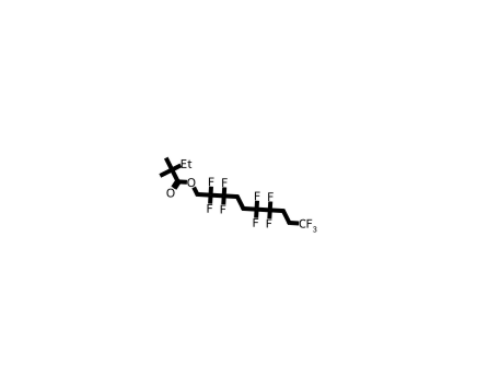 CCC(C)(C)C(=O)OCC(F)(F)C(F)(F)CCC(F)(F)C(F)(F)CCC(F)(F)F